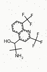 CC(C)(N)C(O)c1cc(C(F)(F)F)nc2c(C(F)(F)F)cccc12